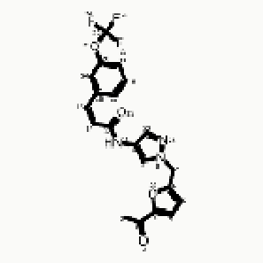 CC(=O)c1ccc(Cn2cc(NC(=O)/C=C\c3cccc(OC(F)(F)F)c3)cn2)o1